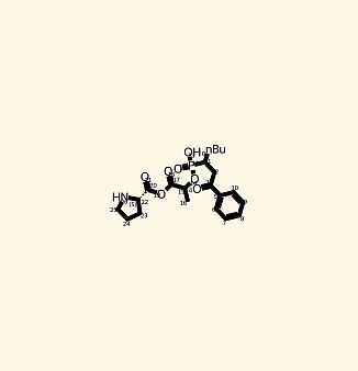 CCCCC(CC(=O)c1ccccc1)P(=O)(O)OC(C)C(=O)OC(=O)[C@@H]1CCCN1